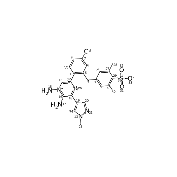 Cc1cc(Cc2cc(Cl)ccc2-c2c[n+](N)c(N)c(-c3cnn(C)c3)n2)cc(C)c1S(=O)(=O)[O-]